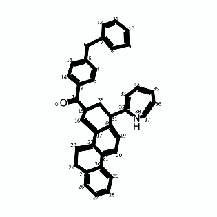 O=C(c1ccc(Cc2ccccc2)cc1)C1C=c2c(ccc3c2=CCc2ccccc2-3)C(C2=CC=CC=CN2)C1